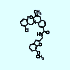 COc1cccc2cc(CNC(=O)c3ccc4c(c3)N(Cc3c(F)cccc3Cl)C(=O)N(C)C4)oc12